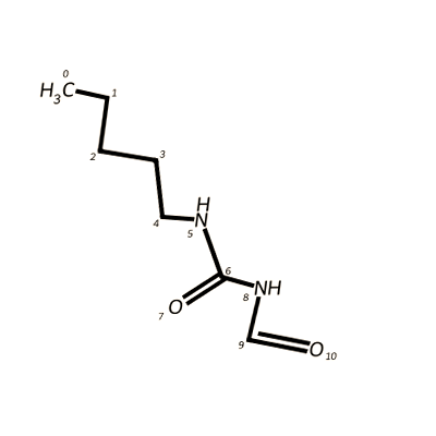 CCCCCNC(=O)NC=O